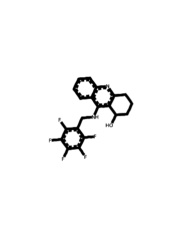 OC1CCCc2nc3ccccc3c(NCc3c(F)c(F)c(F)c(F)c3F)c21